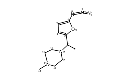 CC(c1ccc(N=[N+]=[N-])o1)N1CCN(C)CC1